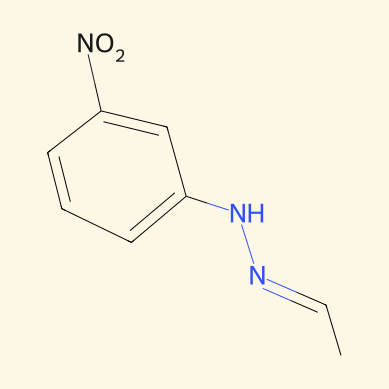 CC=NNc1cccc([N+](=O)[O-])c1